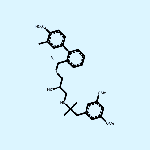 COc1cc(CC(C)(C)NC[C@@H](O)CO[C@H](C)c2ccccc2-c2ccc(C(=O)O)c(C)c2)cc(OC)c1